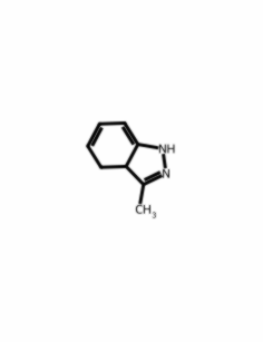 CC1=NNC2=CC=CCC21